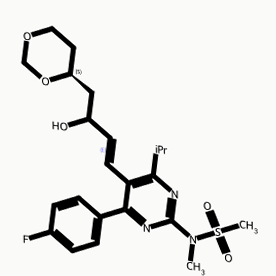 CC(C)c1nc(N(C)S(C)(=O)=O)nc(-c2ccc(F)cc2)c1/C=C/C(O)C[C@@H]1CCOCO1